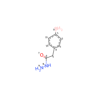 Bc1ccc(CC(=O)NN)cc1